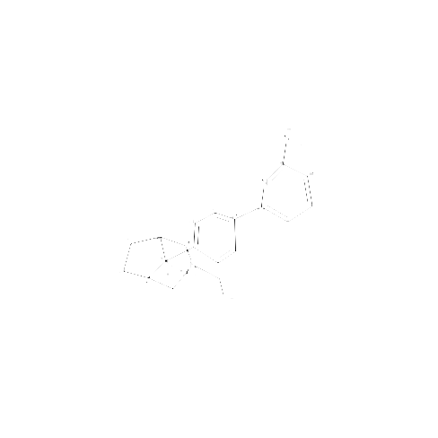 CC(C)CN1CC2CCC(C1)C2(O)c1ccc(-c2cccc(N)n2)cc1